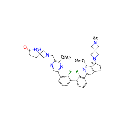 COc1nc(-c2cccc(-c3cccc(-c4cc5c(c(OC)n4)[C@@H](N4CC6(CN(C(C)=O)C6)C4)CC5)c3F)c2F)cnc1CN1CC2(CCC(=O)N2)C1